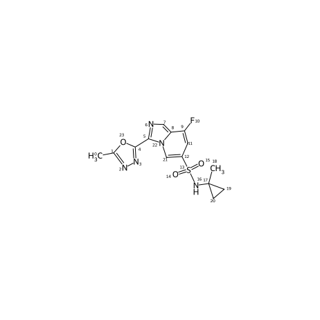 Cc1nnc(-c2ncc3c(F)cc(S(=O)(=O)NC4(C)CC4)cn23)o1